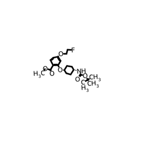 COC(=O)c1ccc(OCCF)cc1O[C@H]1CC[C@@H](NC(=O)OC(C)(C)C)CC1